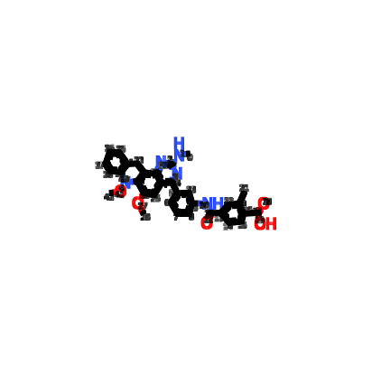 CNc1nc(-c2cccc(NC(=O)c3ccc(C(=O)O)c(C)c3)c2)c2cc(OC)c3c(c2n1)Cc1ccccc1N3OC